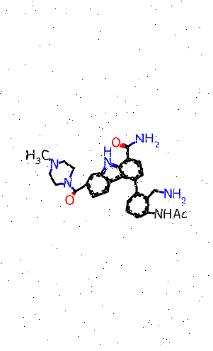 CC(=O)Nc1cccc(-c2ccc(C(N)=O)c3[nH]c4cc(C(=O)N5CCN(C)CC5)ccc4c23)c1CN